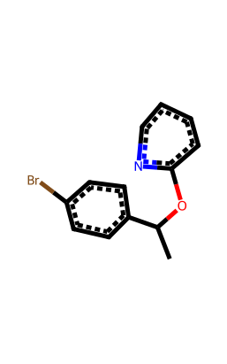 CC(Oc1ccccn1)c1ccc(Br)cc1